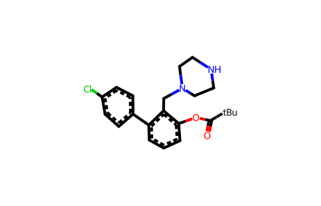 CC(C)(C)C(=O)Oc1cccc(-c2ccc(Cl)cc2)c1CN1CCNCC1